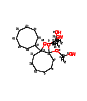 O[SiH2]OC1(O[SiH2]O)CCCCCCC1(O[SiH2]O)C1CCCCCCC1